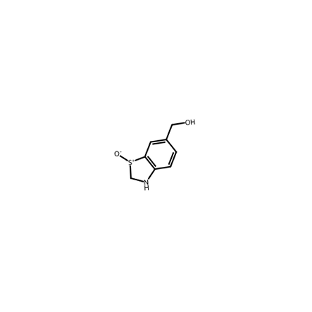 [O-][S+]1CNc2ccc(CO)cc21